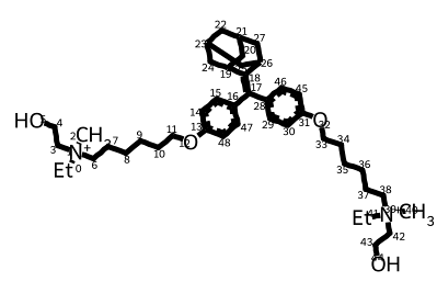 CC[N+](C)(CCO)CCCCCCOc1ccc(C(=C2C3CC4CC(C3)CC2C4)c2ccc(OCCCCCC[N+](C)(CC)CCO)cc2)cc1